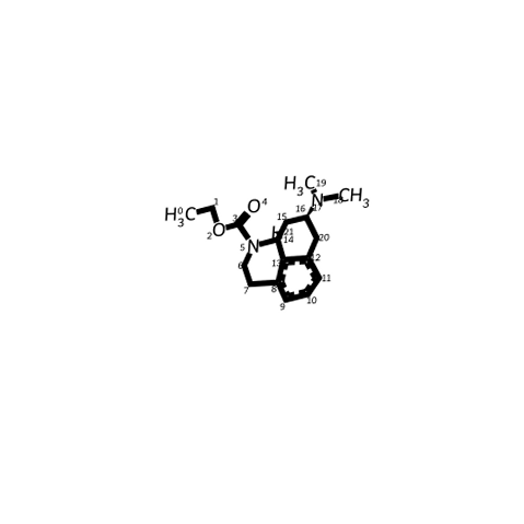 CCOC(=O)N1CCc2cccc3c2[C@@H]1C[C@@H](N(C)C)C3